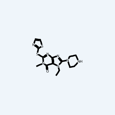 CCn1c(N2CCNCC2)nc2nc(Sc3nccs3)n(C)c(=O)c21